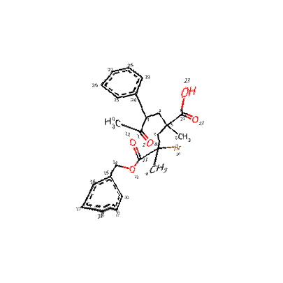 CC(=O)C(CC(C)(CC(C)(Br)C(=O)OCc1ccccc1)C(=O)O)c1ccccc1